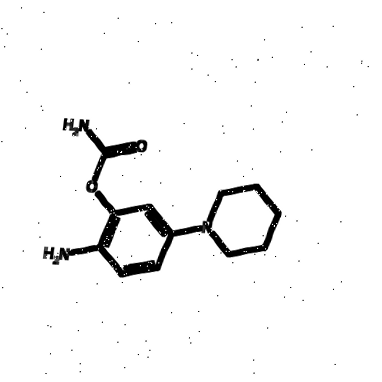 NC(=O)Oc1cc(N2CCCCC2)ccc1N